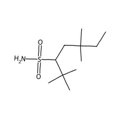 CCC(C)(C)CC(C(C)(C)C)S(N)(=O)=O